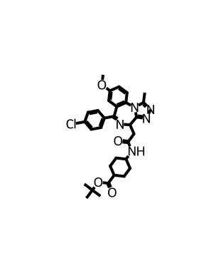 COc1ccc2c(c1)C(c1ccc(Cl)cc1)=NC(CC(=O)NC1CCC(C(=O)OC(C)(C)C)CC1)c1nnc(C)n1-2